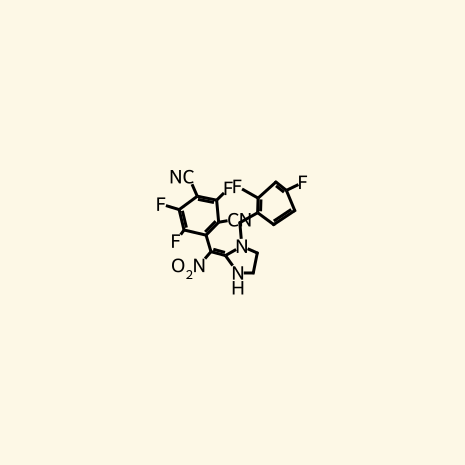 N#Cc1c(F)c(F)c(/C(=C2/NCCN2Cc2ccc(F)cc2F)[N+](=O)[O-])c(C#N)c1F